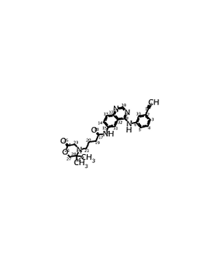 C#Cc1cccc(Nc2ncnc3ccc(NC(=O)CCCN4CC(=O)OCC4(C)C)cc23)c1